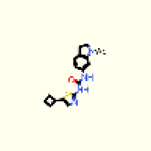 CC(=O)N1CCc2ccc(NC(=O)Nc3ncc(C4CCC4)s3)cc21